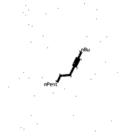 [CH2]CCCC#CCCCCCCC